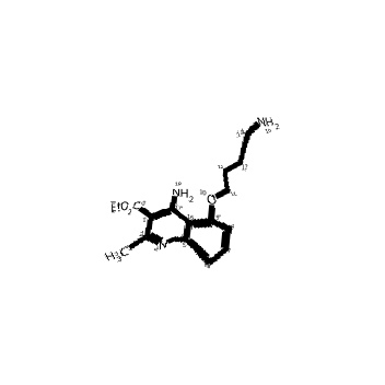 CCOC(=O)c1c(C)nc2cccc(OCCCCN)c2c1N